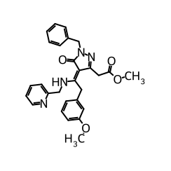 COC(=O)CC1=NN(Cc2ccccc2)C(=O)/C1=C(/Cc1cccc(OC)c1)NCc1ccccn1